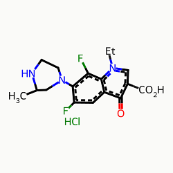 CCn1cc(C(=O)O)c(=O)c2cc(F)c(N3CCNC(C)C3)c(F)c21.Cl